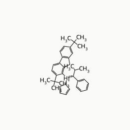 CC(C)[C](c1ccccc1)=[Hf]([c]1c(C(C)(C)C)ccc2c1Cc1cc(C(C)(C)C)ccc1-2)[CH]1C=CC=C1